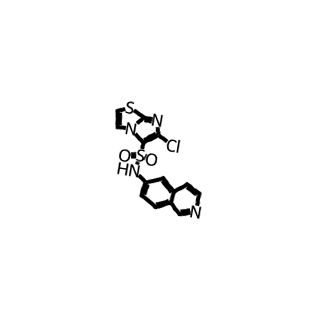 O=S(=O)(Nc1ccc2cnccc2c1)c1c(Cl)nc2sccn12